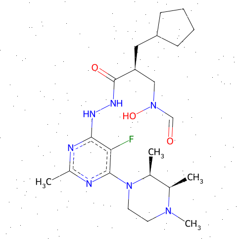 Cc1nc(NNC(=O)[C@@H](CC2CCCC2)CN(O)C=O)c(F)c(N2CCN(C)[C@H](C)[C@@H]2C)n1